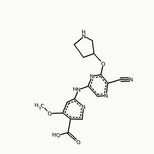 COc1cc(Nc2cnc(C#N)c(OC3CCNC3)n2)ncc1C(=O)O